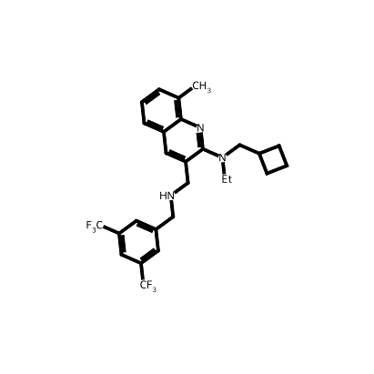 CCN(CC1CCC1)c1nc2c(C)cccc2cc1CNCc1cc(C(F)(F)F)cc(C(F)(F)F)c1